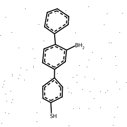 Bc1cc(-c2ccc(S)cc2)ccc1-c1ccccc1